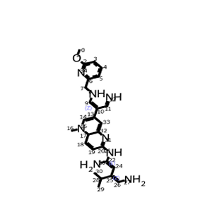 COc1cccc(CN/C=C(\C=N)C2=CN(C)C3C=CC(N/C(N)=C/C(=C\N)C(C)C)=NC3=C2)n1